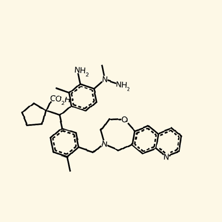 Cc1ccc(C(c2ccc(N(C)N)c(N)c2C)C2(C(=O)O)CCCC2)cc1CN1CCOc2cc3cccnc3cc2C1